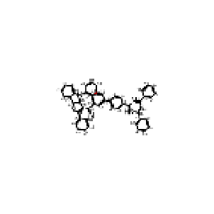 c1ccc(C2=NC(c3ccc(-c4cccc(-c5nc6ccccc6c6c5C5C(S6)c6ccccc6N5c5ccccc5)c4)cc3)NC(c3ccccc3)=N2)cc1